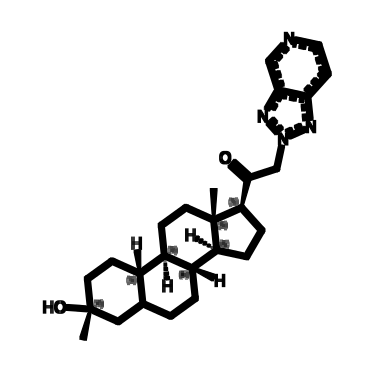 C[C@@]1(O)CC[C@H]2C(CC[C@@H]3[C@@H]2CC[C@]2(C)[C@@H](C(=O)Cn4nc5ccncc5n4)CC[C@@H]32)C1